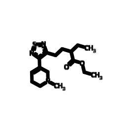 CCOC(=O)C(CC)CCc1nsnc1C1=CCCN(C)C1